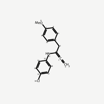 C=C=C(Cc1ccc(OC)cc1)Nc1ccc(Cl)cc1